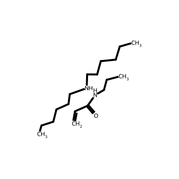 C=CC(=O)NCCC.CCCCCCNCCCCCC